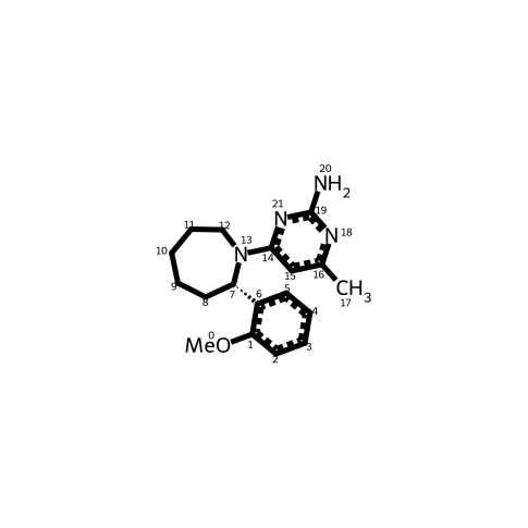 COc1ccccc1[C@@H]1CCCCCN1c1cc(C)nc(N)n1